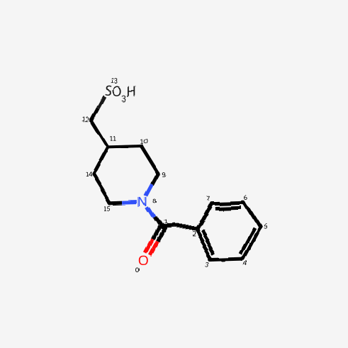 O=C(c1ccccc1)N1CCC(CS(=O)(=O)O)CC1